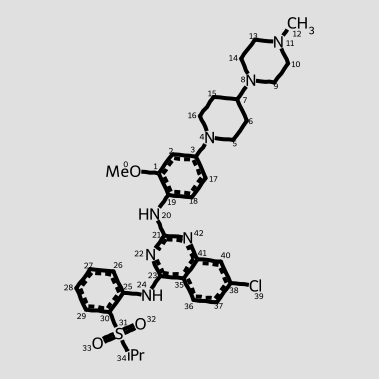 COc1cc(N2CCC(N3CCN(C)CC3)CC2)ccc1Nc1nc(Nc2ccccc2S(=O)(=O)C(C)C)c2ccc(Cl)cc2n1